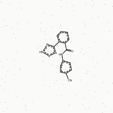 N#Cc1ccc(NC(=O)c2ccccc2-c2nn[nH]n2)cc1